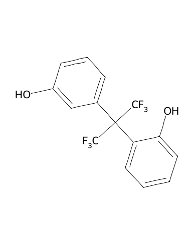 Oc1cccc(C(c2ccccc2O)(C(F)(F)F)C(F)(F)F)c1